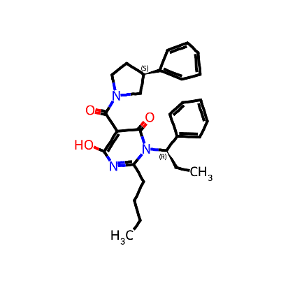 CCCCc1nc(O)c(C(=O)N2CC[C@@H](c3ccccc3)C2)c(=O)n1[C@H](CC)c1ccccc1